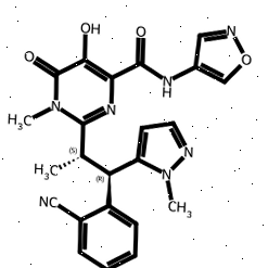 C[C@H](c1nc(C(=O)Nc2cnoc2)c(O)c(=O)n1C)[C@H](c1ccccc1C#N)c1ccnn1C